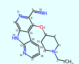 CCN1CCC(Oc2c(C=N)ncc3[nH]c4ncccc4c23)CC1